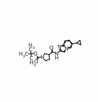 CC(C)(C)OC(=O)N1CCC(C(=O)Nc2cn3cc(C4CC4)ccc3n2)C1